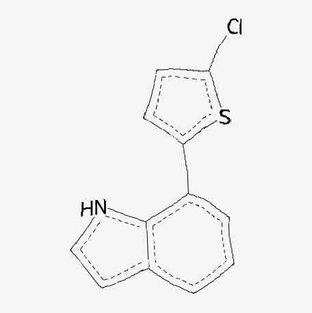 Clc1ccc(-c2cccc3cc[nH]c23)s1